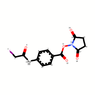 O=C(CI)[AsH]c1ccc(C(=O)ON2C(=O)CCC2=O)cc1